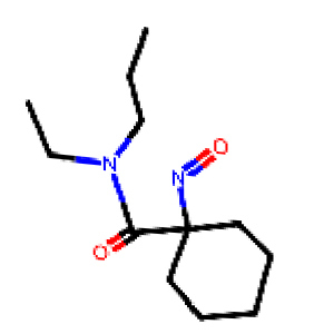 CCCN(CC)C(=O)C1(N=O)CCCCC1